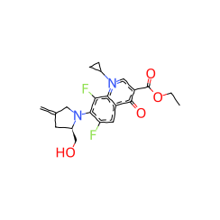 C=C1C[C@H](CO)N(c2c(F)cc3c(=O)c(C(=O)OCC)cn(C4CC4)c3c2F)C1